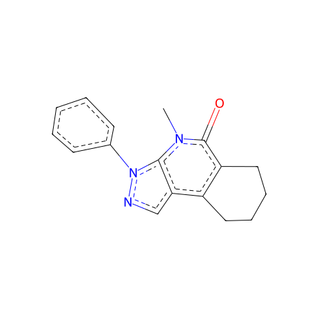 Cn1c(=O)c2c(c3cnn(-c4ccccc4)c31)CCCC2